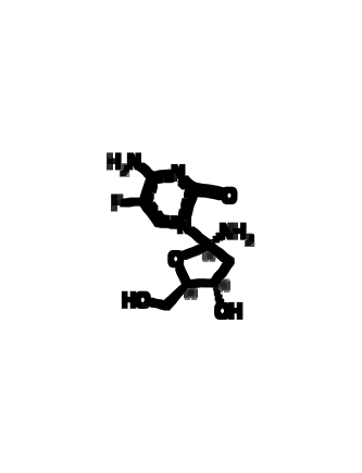 Nc1nc(=O)n([C@@]2(N)C[C@H](O)[C@@H](CO)O2)cc1F